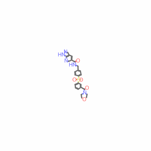 O=C(NCc1ccc(S(=O)(=O)c2cccc(C(=O)N3CCOCC3)c2)cc1)c1cnc2[nH]ncc2c1